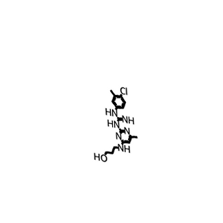 Cc1cc(NCCCO)nc(NC(=N)Nc2ccc(Cl)c(C)c2)n1